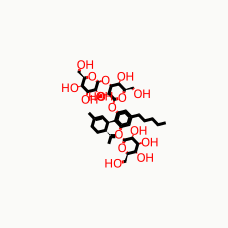 C=C(C)[C@@H]1CCC(C)=C[C@H]1c1c(O[C@@H]2O[C@H](CO)[C@@H](O)[C@H](O)[C@H]2O)cc(CCCCC)cc1O[C@@H]1O[C@H](CO)[C@@H](O)[C@H](O[C@@H]2O[C@H](CO)[C@@H](O)[C@H](O)[C@H]2O)[C@H]1O